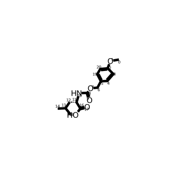 COc1ccc(COC(=O)N[C@@H](CC(C)C)C(=O)O)cc1